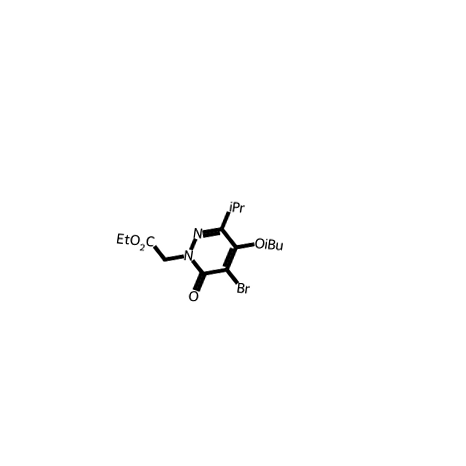 CCOC(=O)Cn1nc(C(C)C)c(OCC(C)C)c(Br)c1=O